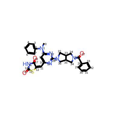 CN(c1ccccc1)c1cc(C=C2SC(=O)NC2=O)nc(N2CC3CN(C(=O)c4ccccc4)CC3C2)n1